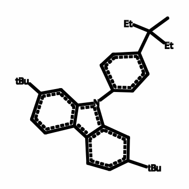 CCC(C)(CC)c1ccc(-n2c3cc(C(C)(C)C)ccc3c3ccc(C(C)(C)C)cc32)cc1